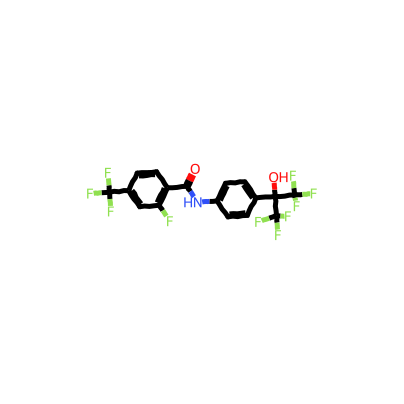 O=C(Nc1ccc(C(O)(C(F)(F)F)C(F)(F)F)cc1)c1ccc(C(F)(F)F)cc1F